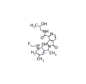 C=C(C)/C=C(\C(O)NCCF)C(C)N1Cc2c(ccnc2C(=O)NCC(C)O)C1=O